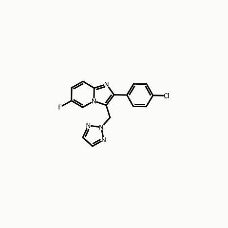 Fc1ccc2nc(-c3ccc(Cl)cc3)c(Cn3nccn3)n2c1